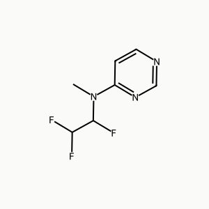 CN(c1ccncn1)C(F)C(F)F